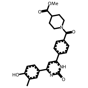 COC(=O)C1CCN(C(=O)c2ccc(-c3cc(-c4ccc(O)c(C)c4)nc(=O)[nH]3)cc2)CC1